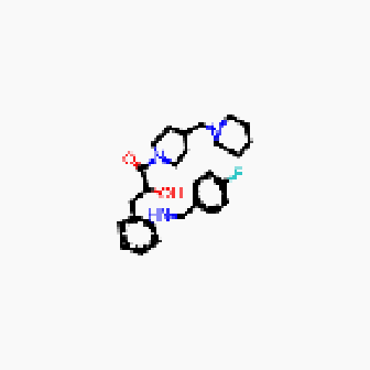 O=C(C(O)Cc1ccccc1NCc1ccc(F)cc1)N1CCC(CN2CCCCC2)CC1